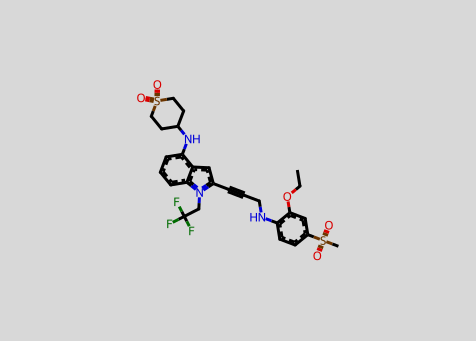 CCOc1cc(S(C)(=O)=O)ccc1NCC#Cc1cc2c(NC3CCS(=O)(=O)CC3)cccc2n1CC(F)(F)F